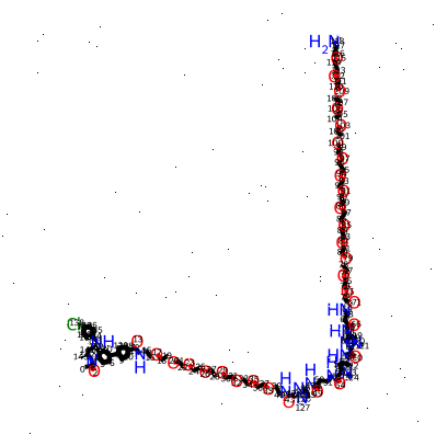 CC(=O)N1c2ccc(-c3ccc(C(=O)NCCOCCOCCOCCOCCOCCOCCOCCOCCNC(=O)c4nc(NC(=O)CCNC(=O)c5cc(NC(=O)c6nc(NC(=O)CCNC(=O)COCCOCCOCCOCCOCCOCCOCCOCCOCCOCCOCCOCCOCCOCCOCCN)cn6C)cn5C)cn4C)cc3)cc2[C@H](Nc2ccc(Cl)cc2)C[C@@H]1C